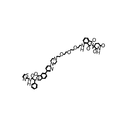 CC1(N2C(=O)c3cccc(NCCOCCOCCOCCN4CCN(c5ccc(-c6ccc7c(c6)C(=O)N(C(C(=O)Nc6nccs6)c6ccccc6)C7)cn5)CC4)c3C2=O)CCC(=O)NC1=O